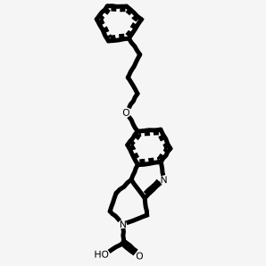 O=C(O)N1CCC2C(=Nc3ccc(OCCCc4ccccc4)cc32)C1